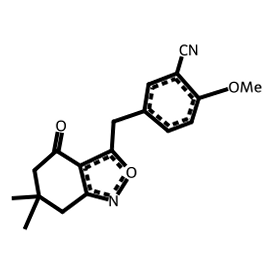 COc1ccc(Cc2onc3c2C(=O)CC(C)(C)C3)cc1C#N